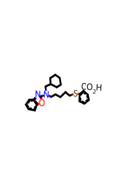 O=C(O)c1ccccc1SCCCCCN(CC1CCCCC1)c1nc2ccccc2o1